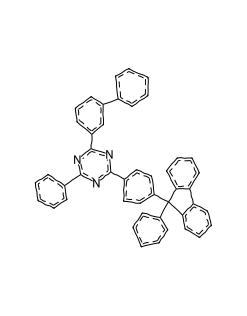 c1ccc(-c2cccc(-c3nc(-c4ccccc4)nc(-c4ccc(C5(c6ccccc6)c6ccccc6-c6ccccc65)cc4)n3)c2)cc1